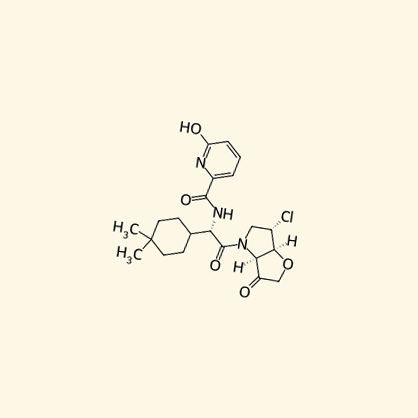 CC1(C)CCC([C@H](NC(=O)c2cccc(O)n2)C(=O)N2C[C@H](Cl)[C@H]3OCC(=O)[C@H]32)CC1